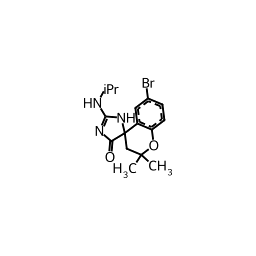 CC(C)NC1=NC(=O)C2(CC(C)(C)Oc3ccc(Br)cc32)N1